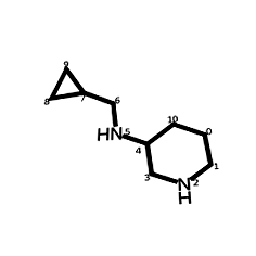 C1CNCC(NCC2CC2)C1